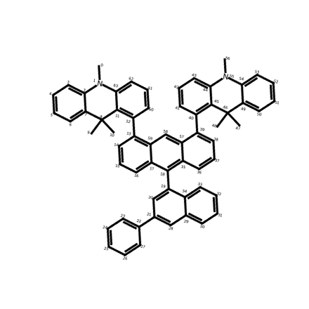 CN1c2ccccc2C(C)(C)c2c(-c3cccc4c(-c5cc(-c6ccccc6)cc6ccccc56)c5cccc(-c6cccc7c6C(C)(C)c6ccccc6N7C)c5cc34)cccc21